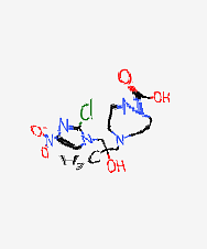 CC(O)(CN1CCN(C(=O)O)CC1)Cn1cc([N+](=O)[O-])nc1Cl